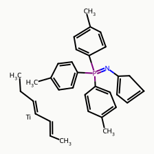 CC=CC=CCC.Cc1ccc(P(=NC2=CC=CC2)(c2ccc(C)cc2)c2ccc(C)cc2)cc1.[Ti]